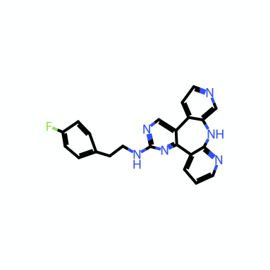 Fc1ccc(CCNc2ncc3c(n2)-c2cccnc2Nc2cnccc2-3)cc1